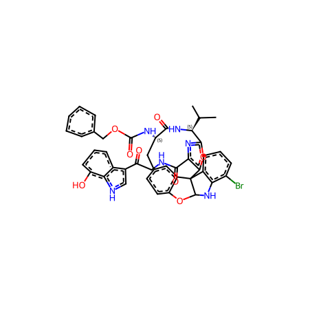 CC(C)[C@@H]1NC(=O)[C@@H](NC(=O)OCc2ccccc2)Cc2ccc3c(c2)C2(c4cccc(Br)c4NC2O3)c2oc1nc2C(=O)NCC(=O)c1c[nH]c2c(O)cccc12